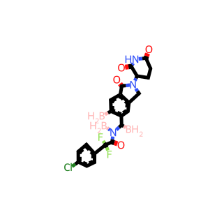 Bc1cc2c(cc1C(B)N(B)C(=O)C(F)(F)c1ccc(Cl)cc1)CN(C1CCC(=O)NC1=O)C2=O